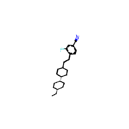 CC[C@H]1CC[C@H](C2CCC(CCc3ccc(C#N)cc3F)CC2)CC1